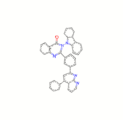 O=c1c2ccccc2nc(-c2cccc(-c3cc(-c4ccccc4)c4cccnc4n3)c2)n1-n1c2ccccc2c2ccccc21